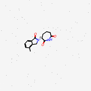 Cc1cccc2c1CN([C@@H]1CCCC(=O)NC1=O)C2=O